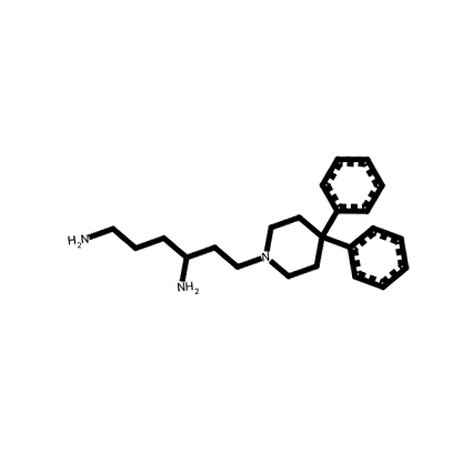 NCCCC(N)CCN1CCC(c2ccccc2)(c2ccccc2)CC1